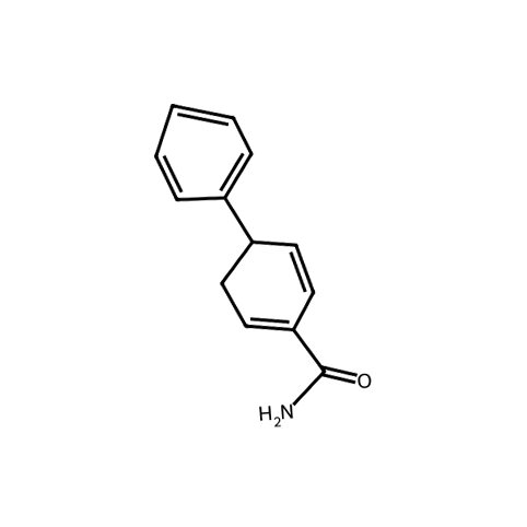 NC(=O)C1=CCC(c2ccccc2)C=C1